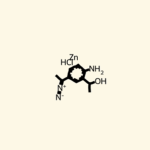 CC(=[N+]=[N-])c1ccc(N)c(C(C)O)c1.Cl.[Zn]